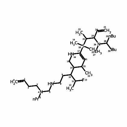 C=CCCN(CCC)CNCCC(C(C)F)C1CNC(S(C)(C)C(C)C(C=C)N(C)C(CCCC)C(C)CC)=CC1C